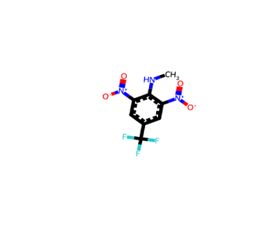 CNc1c([N+](=O)[O-])cc(C(F)(F)F)cc1[N+](=O)[O-]